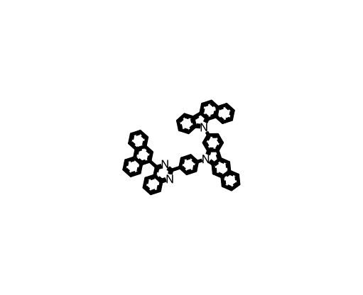 c1ccc2cc3c(cc2c1)c1ccc(-n2c4ccccc4c4ccc5ccccc5c42)cc1n3-c1ccc(-c2nc(-c3cc4ccccc4c4ccccc34)c3ccccc3n2)cc1